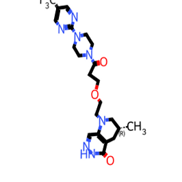 C[C@@H]1Cc2c(cn[nH]c2=O)N(CCOCCC(=O)N2CCN(c3ncc(C(F)(F)F)cn3)CC2)C1